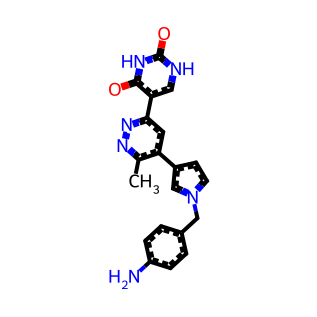 Cc1nnc(-c2c[nH]c(=O)[nH]c2=O)cc1-c1ccn(Cc2ccc(N)cc2)c1